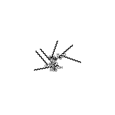 CCCCCCCCCCCCCC(=O)O[C@H](CCCCCCCCCCC)CC(=O)NCC(CO)(CO)CO[C@H]1OC(CO)[C@@H](OP(=O)(O)O)C(OC(=O)C[C@@H](CCCCCCCCCCC)OC(=O)CCCCCCCCCCCCC)[C@@H]1NC(=O)C[C@@H](CCCCCCCCCCC)OC(=O)CCCCCCCCCCCCC